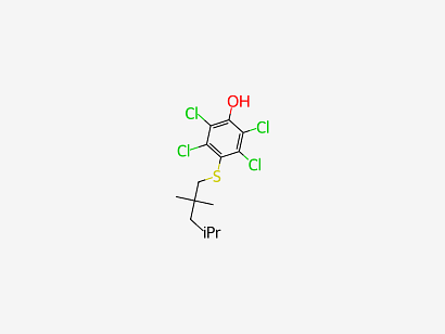 CC(C)CC(C)(C)CSc1c(Cl)c(Cl)c(O)c(Cl)c1Cl